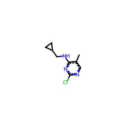 Cc1cnc(Cl)nc1NCC1CC1